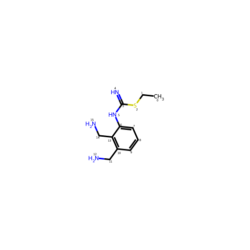 CCSC(=N)Nc1cccc(CN)c1CN